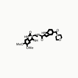 COc1cc2[nH]c(=O)n(CCNC(=O)c3cc4cc(C(=O)N5CCOCC5)ccc4[nH]3)c(=N)c2cc1OC